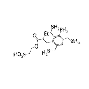 BCc1cc(CB)c(CC(CC)C(=O)OCCS(=O)(=O)O)c(CB)c1B